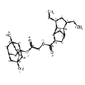 CCC1CC(CC)C2C3CC(CC3C(=O)OCC(=O)OC34CC5CC(O)(CC(O)(C5)C3)C4)C12